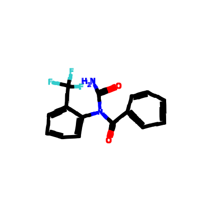 NC(=O)N(C(=O)c1ccccc1)c1ccccc1C(F)(F)F